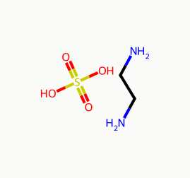 NCCN.O=S(=O)(O)O